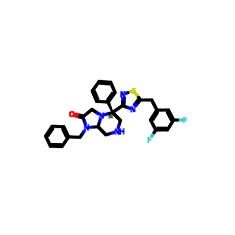 O=C1CN2C(CNC[C@@]2(c2ccccc2)c2nsc(Cc3cc(F)cc(F)c3)n2)N1Cc1ccccc1